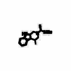 CNC(=S)N1Cc2[nH]c3ccccc3c2C(C)C1